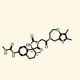 CNC(=O)Nc1ccc2c(c1)CC[C@H](C)[C@]21NC(=O)N(CC(=O)N2CCOc3c(sc(C)c3C)C2)C1=O